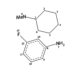 CNC1CCCCC1.Nc1cccc(F)c1